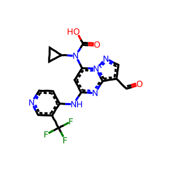 O=Cc1cnn2c(N(C(=O)O)C3CC3)cc(Nc3ccncc3C(F)(F)F)nc12